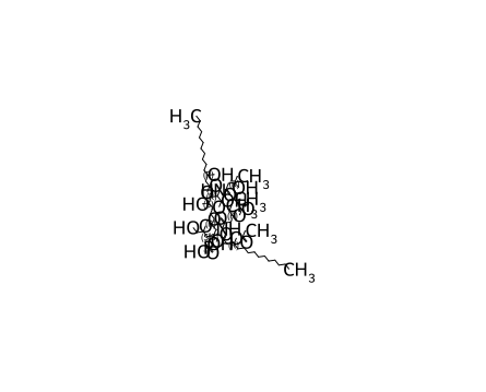 CCCCCCCCCCC[C@@H](O)CC(=O)O[C@@H]1C(NC(=O)C[C@H](O)CC)C(O)OC(CO[C@@H]2OC(CO)[C@@H](CP(=O)(O)O)[C@H](OC(=O)C[C@@H](CCCCCCCCCCC)OC(=O)CC)C2NC(=O)C[C@@H](CC)OC(=O)CC)[C@H]1O